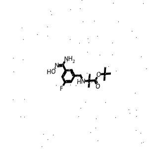 CC(C)(C)OC(=O)C(C)(C)NCc1cc(F)cc(/C(N)=N\O)c1